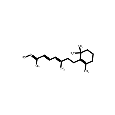 CC1=C(CC/C(C)=C/C=C/C(C)=N/O)C(C)(C)CCC1